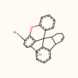 Clc1ccc(Br)c2c1C1(c3ccccc3O2)c2ccccc2C2C=CCCC21